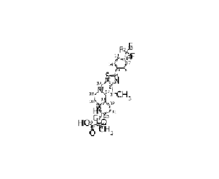 CCc1nc(-c2ccc(C(F)(F)F)cc2)sc1CN1CCc2cc(OC(C)(C)C(=O)O)ccc2C1